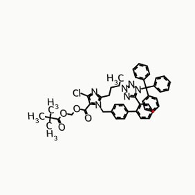 CCCCc1nc(Cl)c(C(=O)OCOC(=O)C(C)(C)C)n1Cc1ccc(-c2ccccc2-c2nnnn2C(c2ccccc2)(c2ccccc2)c2ccccc2)cc1